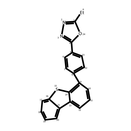 CCc1nnc(-c2ccc(-c3cccc4c3sc3ccccc34)cc2)o1